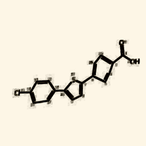 O=C(O)c1ccc(-c2ccc(-c3ccc(Cl)cc3)s2)cc1